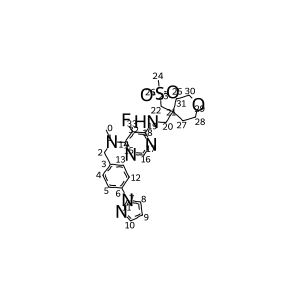 CN(Cc1ccc(-n2cccn2)cc1)c1ncnc(NCC2(CS(C)(=O)=O)CCOCC2)c1F